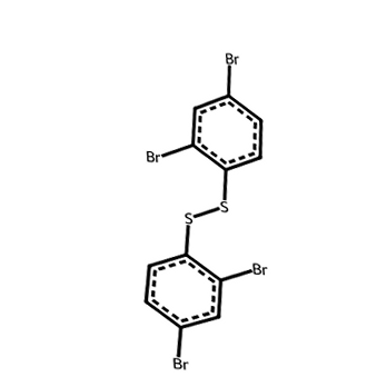 Brc1ccc(SSc2ccc(Br)cc2Br)c(Br)c1